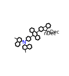 CCCCCCCCCCC1(CCCCCCCCCC)c2ccccc2-c2ccc(-c3c4ccccc4c(-c4ccc(N(c5ccc(C)c6ccccc56)c5ccc(C)c6ccccc56)cc4)c4ccccc34)cc21